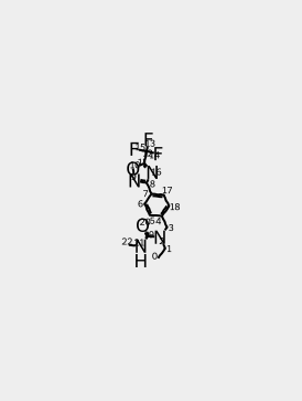 CCN(Cc1ccc(-c2noc(C(F)(F)F)n2)cc1)C(=O)NC